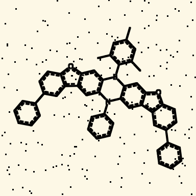 Cc1cc(C)c(B2c3cc4oc5ccc(-c6ccccc6)cc5c4cc3N(c3ccccc3)c3cc4c(cc32)oc2ccc(-c3ccccc3)cc24)c(C)c1